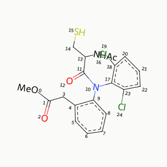 COC(=O)Cc1ccccc1N(C(=O)C(CS)NC(C)=O)c1c(Cl)cccc1Cl